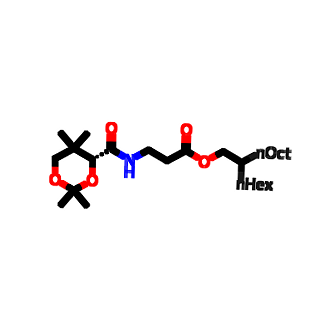 CCCCCCCCC(CCCCCC)COC(=O)CCNC(=O)[C@@H]1OC(C)(C)OCC1(C)C